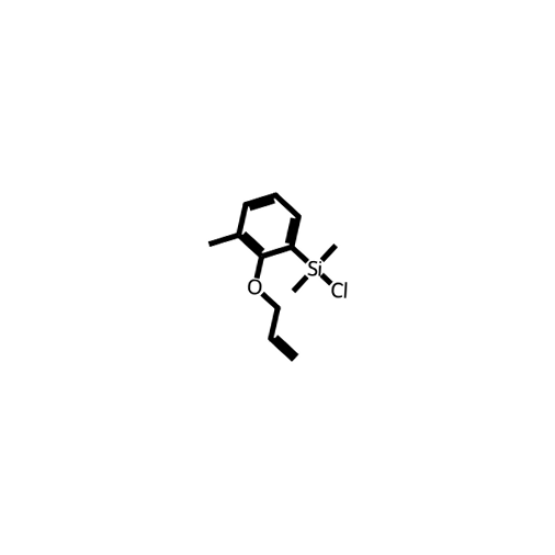 C=CCOc1c(C)cccc1[Si](C)(C)Cl